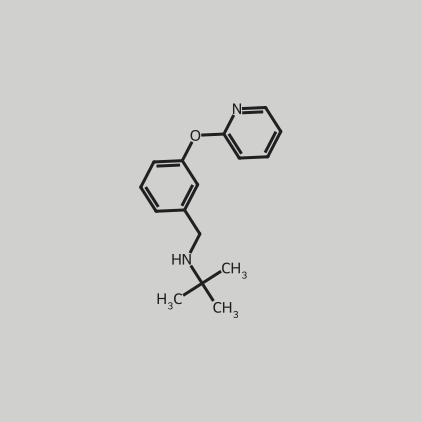 CC(C)(C)NCc1cccc(Oc2ccccn2)c1